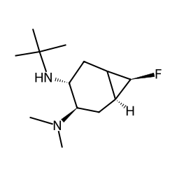 CN(C)[C@@H]1C[C@H]2C(C[C@H]1NC(C)(C)C)[C@H]2F